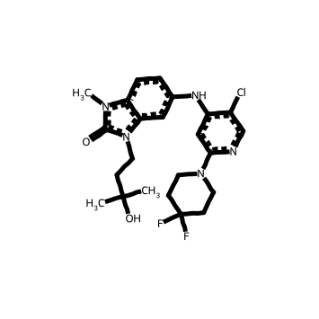 Cn1c(=O)n(CCC(C)(C)O)c2cc(Nc3cc(N4CCC(F)(F)CC4)ncc3Cl)ccc21